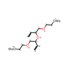 C=CC(COCCOC)OC(C=C)COCCOC